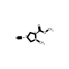 COC(=O)[C@@H]1C[C@@H](C#N)CN1C